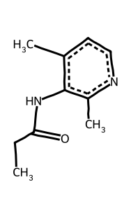 CCC(=O)Nc1c(C)ccnc1C